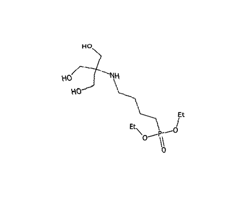 CCOP(=O)(CCCCNC(CO)(CO)CO)OCC